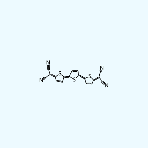 N#CC(C#N)=c1cc/c(=c2/cc/c(=c3/ccc(=C(C#N)C#N)s3)s2)s1